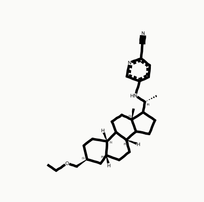 CCOC[C@H]1CC[C@@H]2C3CC[C@@]4(C)C(CCC4[C@@H](C)Nc4ccc(C#N)nc4)[C@@H]3CC[C@@H]2C1